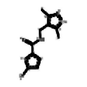 CCc1ccc(C(=O)NCc2c(C)noc2C)s1